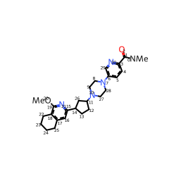 CNC(=O)c1ccc(N2CCN(C3CCC(c4cc5c(c(OC)n4)CCCC5)C3)CC2)cn1